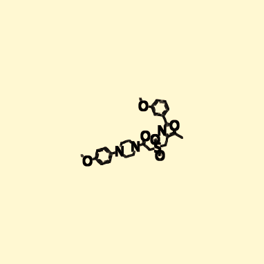 COc1ccc(N2CCN(C(=O)CS(=O)(=O)Cc3nc(-c4cccc(OC)c4)oc3C)CC2)cc1